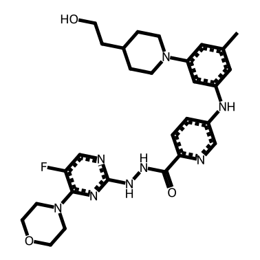 Cc1cc(Nc2ccc(C(=O)NNc3ncc(F)c(N4CCOCC4)n3)nc2)cc(N2CCC(CCO)CC2)c1